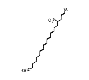 CC/C=C/C/C(=C/C/C=C/C=C/C=C/C=C/C/C=C/CC[C]=O)[N+](=O)[O-]